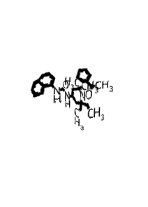 CCC1(CC)CC(NC(=O)Nc2cccc3ccccc23)CC(C)(C)N1OC(C)c1ccccc1